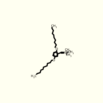 CCCCCCCCCCOc1ccc(OCCCCCCCCCC)c(C#C[Si](C)(C)C)c1